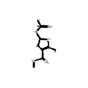 COC(=O)C1=C(C)OC(OC(C)=O)C1